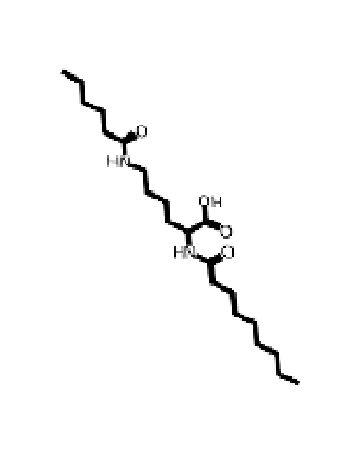 CCCCCCCCC(=O)NC(CCCCNC(=O)CCCCC)C(=O)O